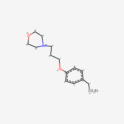 CCOC(=O)Cc1ccc(OCCCN2CCOCC2)cc1